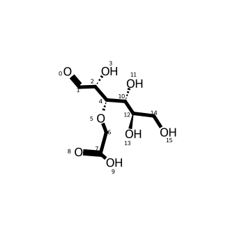 O=C[C@H](O)[C@@H](OCC(=O)O)[C@H](O)[C@H](O)CO